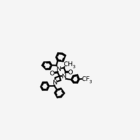 CC1C(=O)N(Cc2ccc(C(F)(F)F)cc2)C2(CN(C(c3ccccc3)c3ccccc3)C2)C(=O)N1C(c1ccccc1)c1ccccc1